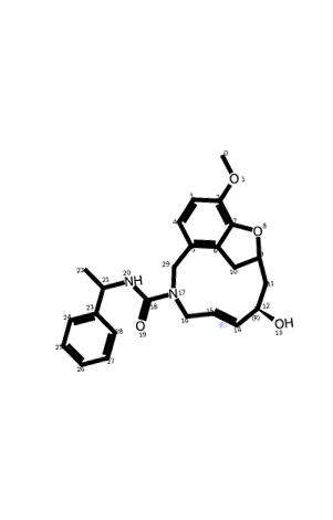 COc1ccc2c3c1OC(C3)C[C@@H](O)/C=C/CN(C(=O)NC(C)c1ccccc1)C2